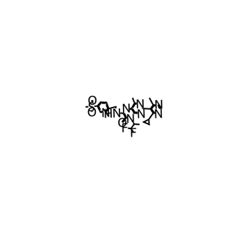 Cc1ncnc(C2CC2)c1-c1nc(C)c2nc(NCc3ccc(S(C)(=O)=O)cn3)c(=O)n(C(C)C(F)F)c2n1